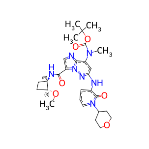 CO[C@@H]1CC[C@H]1NC(=O)c1cnc2c(N(C)C(=O)OC(C)(C)C)cc(Nc3cccn(C4CCOCC4)c3=O)nn12